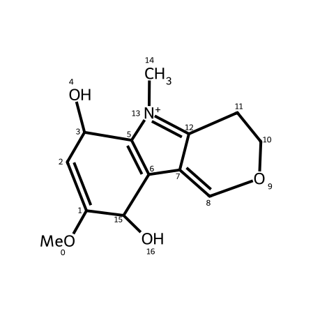 COC1=CC(O)C2=C(C3=COCCC3=[N+]2C)C1O